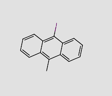 Cc1c2ccccc2c(I)c2ccccc12